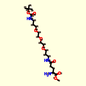 COC(=O)C(N)CCC(=O)NCCCOCCOCCOCCCNC(=O)OC(C)(C)C